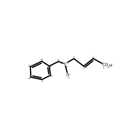 O=C(O)C=CC[S+]([O-])Cc1ccccc1